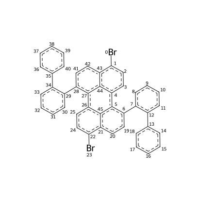 Brc1ccc2c3c(-c4ccccc4-c4ccccc4)ccc4c(Br)ccc(c5c(-c6ccccc6-c6ccccc6)ccc1c25)c43